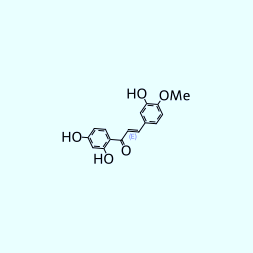 COc1ccc(/C=C/C(=O)c2ccc(O)cc2O)cc1O